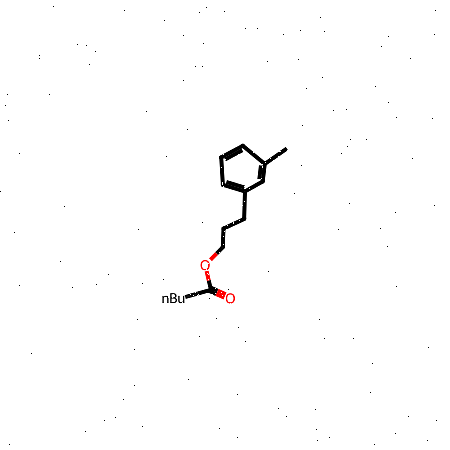 CCCCC(=O)OCCCc1cccc(C)c1